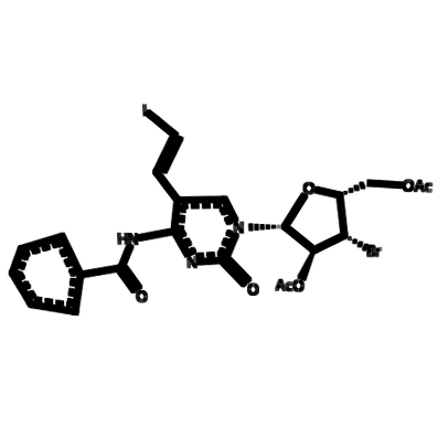 CC(=O)OC[C@H]1O[C@@H](n2cc(C=CI)c(NC(=O)c3ccccc3)nc2=O)[C@H](OC(C)=O)[C@H]1Br